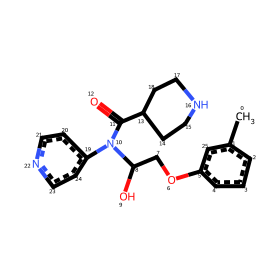 Cc1cccc(OCC(O)N(C(=O)C2CCNCC2)c2ccncc2)c1